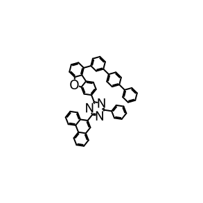 c1ccc(-c2ccc(-c3cccc(-c4cccc5oc6cc(-c7nc(-c8ccccc8)nc(-c8cc9ccccc9c9ccccc89)n7)ccc6c45)c3)cc2)cc1